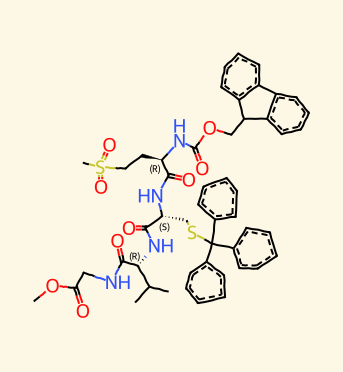 COC(=O)CNC(=O)[C@H](NC(=O)[C@@H](CSC(c1ccccc1)(c1ccccc1)c1ccccc1)NC(=O)[C@@H](CCS(C)(=O)=O)NC(=O)OCC1c2ccccc2-c2ccccc21)C(C)C